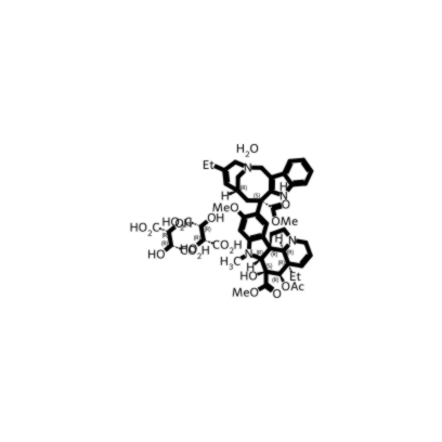 CCC1=C[C@@H]2CN(C1)Cc1c([nH]c3ccccc13)[C@@](C(=O)OC)(c1cc3c(cc1OC)N(C)[C@H]1[C@@](O)(C(=O)OC)[C@H](OC(C)=O)[C@]4(CC)C=CCN5CC[C@]31[C@@H]54)C2.O.O=C(O)[C@H](O)[C@@H](O)C(=O)O.O=C(O)[C@H](O)[C@@H](O)C(=O)O